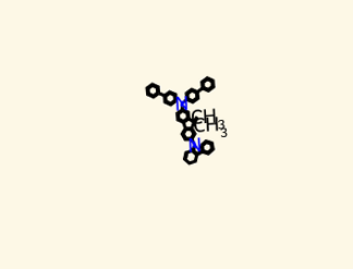 CC1(C)c2cc(N(c3ccc(-c4ccccc4)cc3)c3ccc(-c4ccccc4)cc3)ccc2-c2ccc(-n3c4c(c5ccccc53)CCC=C4)cc21